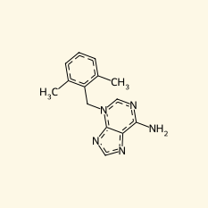 Cc1cccc(C)c1Cn1cnc(N)c2ncnc1-2